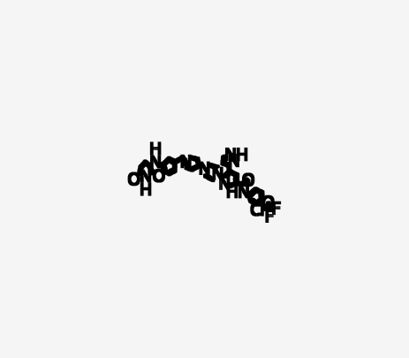 O=C1CCC(Nc2cccc(CN3CCC(N4CCN(c5ncc(C(=O)Nc6ccc(OC(F)(F)Cl)cc6)cc5-c5cc[nH]n5)CC4)CC3)c2)C(=O)N1